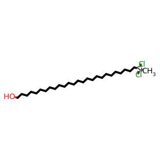 C[Si](Cl)(Cl)CCCCCCCCCCCCCCCCCCCCCCCCCCO